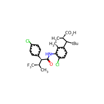 Cc1c(C([C@@H](C)C(=O)O)C(C)(C)C)ccc(Cl)c1NC(=O)[C@H](c1ccc(Cl)cc1)[C@@H](C)C(F)(F)F